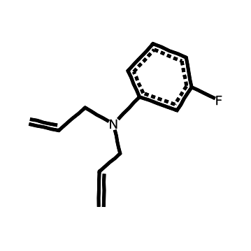 C=CCN(CC=C)c1cccc(F)c1